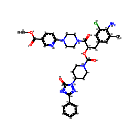 CCCCCCOC(=O)c1ccc(N2CCN(C(=O)[C@@H](Cc3cc(Cl)c(N)c(C(F)(F)F)c3)OC(=O)N3CCC(n4nc(-c5ccccc5)[nH]c4=O)CC3)CC2)nc1